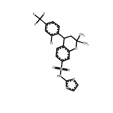 CC1(C)CC(c2ccc(C(F)(F)F)cc2Cl)c2ccc(S(=O)(=O)Nc3nccs3)cc2O1